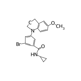 COc1ccc2c(c1)CCCN2c1cc(Br)cc(C(=O)NC2CC2)c1